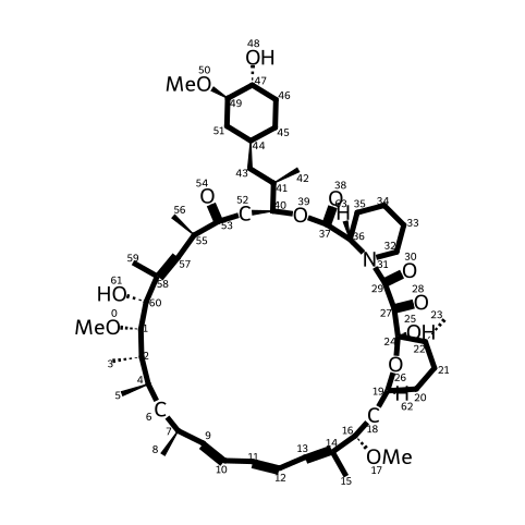 CO[C@H]1[C@@H](C)[C@H](C)C[C@H](C)/C=C/C=C/C=C(\C)[C@@H](OC)C[C@@H]2CC[C@@H](C)[C@@](O)(O2)C(=O)C(=O)N2CCCC[C@H]2C(=O)O[C@H]([C@H](C)C[C@@H]2CC[C@@H](O)[C@H](OC)C2)CC(=O)[C@H](C)/C=C(\C)[C@H]1O